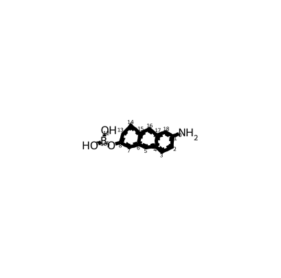 Nc1ccc2cc3cc(OB(O)O)ccc3cc2c1